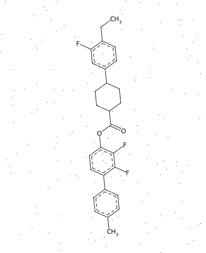 CCc1ccc(C2CCC(C(=O)Oc3ccc(-c4ccc(C)cc4)c(F)c3F)CC2)cc1F